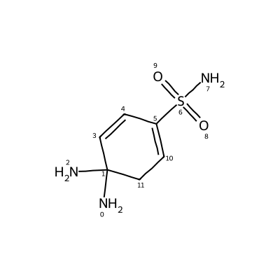 NC1(N)C=CC(S(N)(=O)=O)=CC1